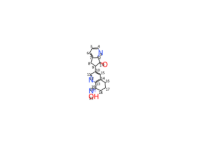 O=C1c2ncccc2CC1c1cnc2c(c1)CCC/C2=N\O